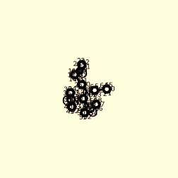 c1ccc(-c2ccc(N(c3ccc(-c4cccc5c4oc4ccccc45)cc3)c3cc(N4c5ccccc5Oc5ccccc54)cc(N4c5ccccc5Oc5ccccc54)c3)cc2)cc1